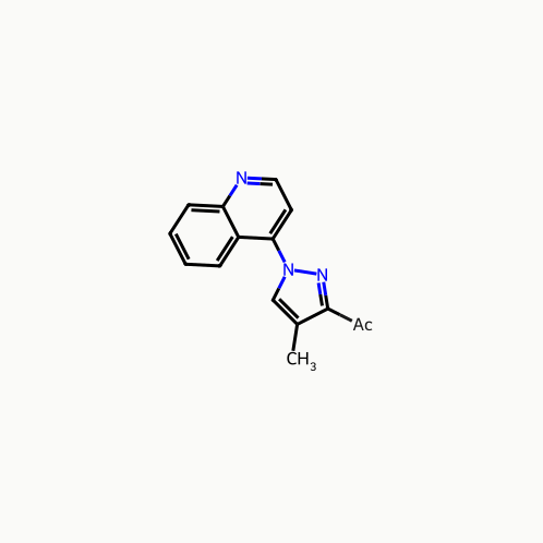 CC(=O)c1nn(-c2ccnc3ccccc23)cc1C